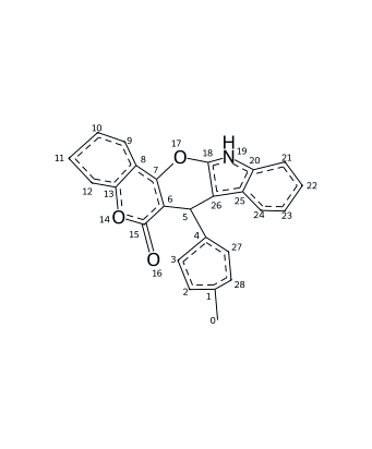 Cc1ccc(C2c3c(c4ccccc4oc3=O)Oc3[nH]c4ccccc4c32)cc1